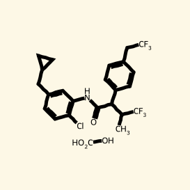 CC(C(C(=O)Nc1cc(CC2CC2)ccc1Cl)c1ccc(CC(F)(F)F)cc1)C(F)(F)F.O=C(O)O